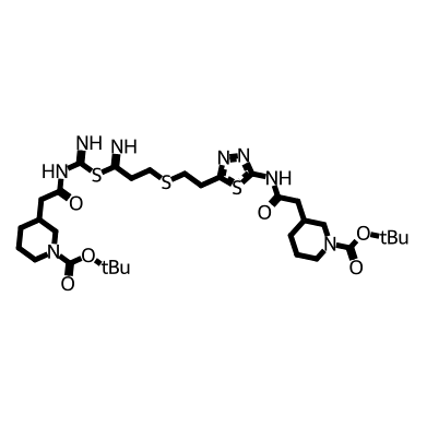 CC(C)(C)OC(=O)N1CCCC(CC(=O)NC(=N)SC(=N)CCSCCc2nnc(NC(=O)CC3CCCN(C(=O)OC(C)(C)C)C3)s2)C1